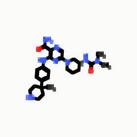 CN(C)C(=O)N[C@@H]1CCCN(c2cnc(C(N)=O)c(Nc3ccc(C4(C)CCNCC4)cc3)n2)C1